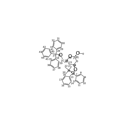 CO[C@H]1C[C@@H](O[Si](c2ccccc2)(c2ccccc2)C(C)(C)C)C[C@H](COC(c2ccccc2)(c2ccccc2)c2ccccc2)O1